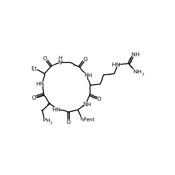 CCCCCC1NC(=O)C(CCCNC(=N)N)NC(=O)CNC(=O)C(CC)NC(=O)C(CP)NC1=O